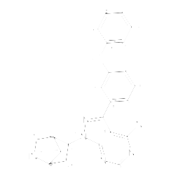 Nc1ncnc2c1c(-c1cccc(Oc3ccccc3)c1)nn2C1CC2CC1CN2